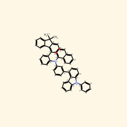 CC1(C)c2ccccc2-c2c(-c3ccccc3N(c3cccc(-c4cccc5c4c4ccccc4n5-c4ccccc4)c3)c3cccc4ccccc34)cccc21